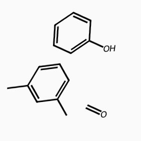 C=O.Cc1cccc(C)c1.Oc1ccccc1